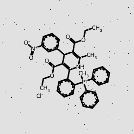 CCOC(=O)C1=C(C)NC(c2ccccc2[P+](C)(c2ccccc2)c2ccccc2)=C(C(=O)OCC)C1c1cccc([N+](=O)[O-])c1.[Cl-]